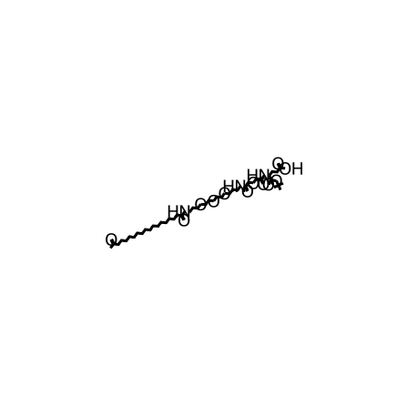 CC(=O)CCCCCCCCCCCCCCCCC(=O)NCCCOCCOCCOCCCNC(=O)COCC(=O)NC(CCC(=O)O)C(=O)OC(C)(C)C